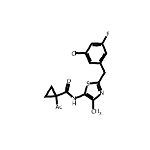 CC(=O)C1(C(=O)Nc2sc(Cc3cc(F)cc(Cl)c3)nc2C)CC1